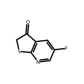 O=C1CSc2ncc(F)cc21